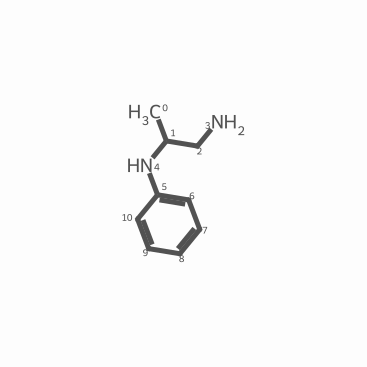 CC(CN)Nc1ccccc1